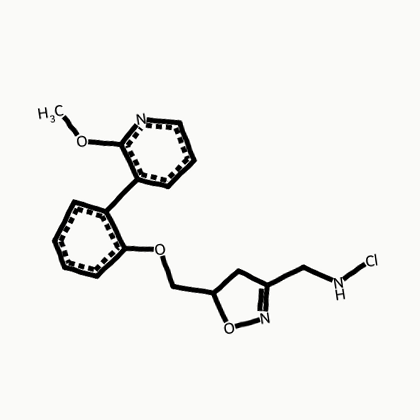 COc1ncccc1-c1ccccc1OCC1CC(CNCl)=NO1